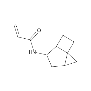 C=CC(=O)NC1CC2CC23CCC13